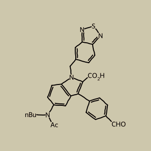 CCCCN(C(C)=O)c1ccc2c(c1)c(-c1ccc(C=O)cc1)c(C(=O)O)n2Cc1ccc2nsnc2c1